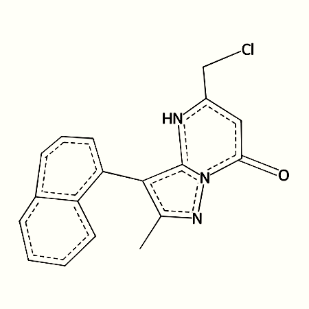 Cc1nn2c(=O)cc(CCl)[nH]c2c1-c1cccc2ccccc12